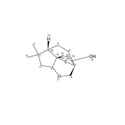 CC1(C)CC2OC[C@]34CC[C@@H]1[C@]2(CCC3O)C4